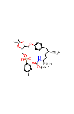 Cc1ccc(S(=O)(=O)OC[C@@H]2OC(C)(C)O[C@H]2COc2ccc(CC(CC[C@H](NC(=O)OC(C)(C)C)C(=O)O)C(=O)O)cc2)cc1